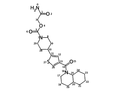 NC(=O)COC(=O)N1CCC(c2cc(C(=O)N3CCCC4CCCCC43)cs2)CC1